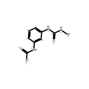 CCC(=O)Nc1cccc(NC(=O)NC(C)C)c1